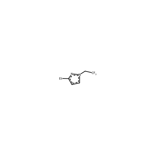 CCc1ccn(CC(F)(F)F)n1